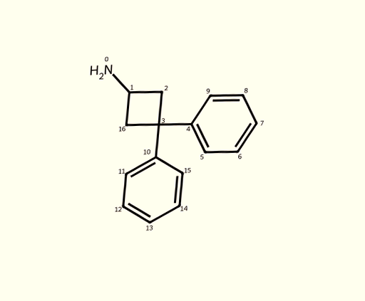 NC1CC(c2ccccc2)(c2ccccc2)C1